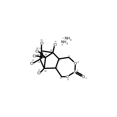 N.N.O=S1OCC2C(CO1)C1(Cl)C(Cl)=C(Cl)C2(Cl)C1(Cl)Cl